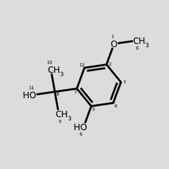 COc1ccc(O)c(C(C)(C)O)c1